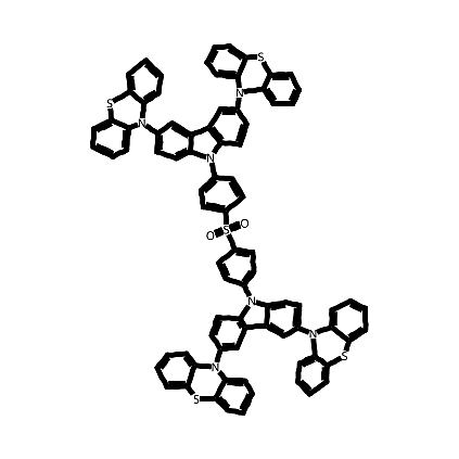 O=S(=O)(c1ccc(-n2c3ccc(N4c5ccccc5Sc5ccccc54)cc3c3cc(N4c5ccccc5Sc5ccccc54)ccc32)cc1)c1ccc(-n2c3ccc(N4c5ccccc5Sc5ccccc54)cc3c3cc(N4c5ccccc5Sc5ccccc54)ccc32)cc1